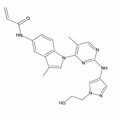 C=CC(=O)Nc1ccc2c(c1)c(C)cn2-c1nc(Nc2cnn(CCO)c2)ncc1C